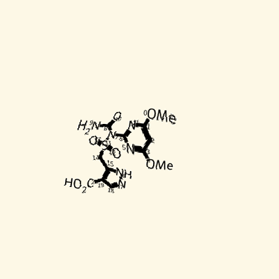 COc1cc(OC)nc(N(C(N)=O)S(=O)(=O)Cc2[nH]ncc2C(=O)O)n1